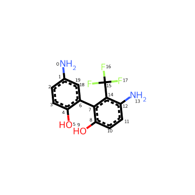 Nc1ccc(O)c(-c2c(O)ccc(N)c2C(F)(F)F)c1